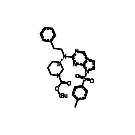 Cc1ccc(S(=O)(=O)n2ccc3cnc(N(CCc4ccccc4)[C@H]4CCCN(C(=O)OC(C)(C)C)C4)nc32)cc1